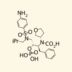 CC(C)CN(C[C@@H](OP(=O)(O)O)[C@H](Cc1ccccc1)N(C(=O)O)[C@H]1CCOC1)S(=O)(=O)c1ccc(N)cc1